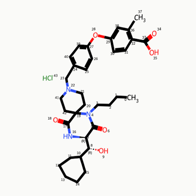 CCCCN1C(=O)[C@@H]([C@H](O)C2CCCCC2)NC(=O)C12CCN(Cc1ccc(Oc3ccc(C(=O)O)c(C)c3)cc1)CC2.Cl